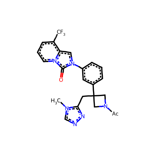 CC(=O)N1CC(Cc2nncn2C)(c2cccc(-n3cc4c(C(F)(F)F)cccn4c3=O)c2)C1